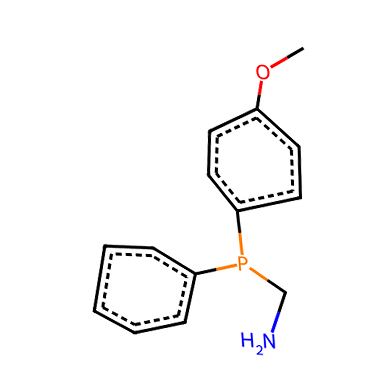 COc1ccc(P(CN)c2ccccc2)cc1